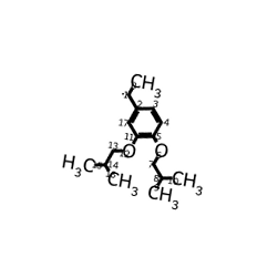 C[CH]c1ccc(OCC(C)C)c(OCC(C)C)c1